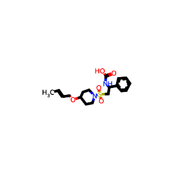 CC=CCOC1CCN(S(=O)(=O)CC(NC(=O)O)c2ccccc2)CC1